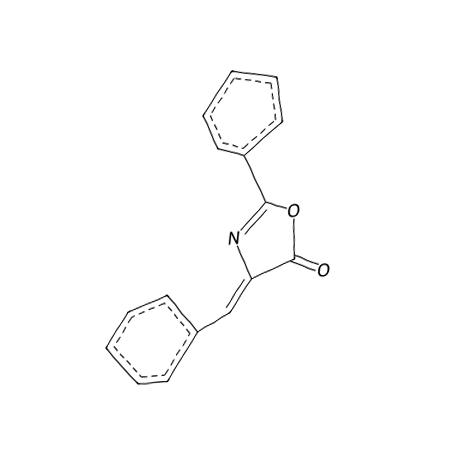 O=C1OC(c2ccccc2)=N/C1=C\c1ccccc1